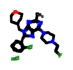 Cc1nc(N2CCN(CCF)CC2)c2nc(-c3ccccc3Cl)n(CC3CCOCC3)c2n1.Cl